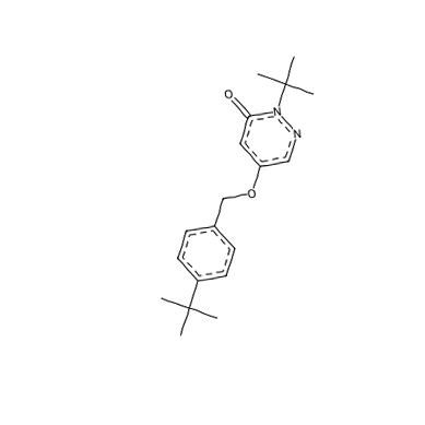 CC(C)(C)c1ccc(COc2cnn(C(C)(C)C)c(=O)c2)cc1